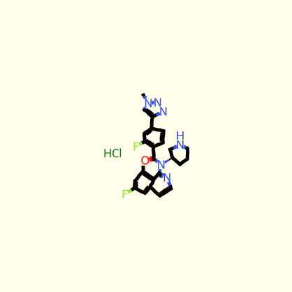 Cc1cc(F)cc2ccnc(N(C(=O)c3ccc(-c4cn(C)nn4)cc3F)[C@@H]3CCCNC3)c12.Cl